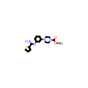 CC(C)(C)OC(=O)N1CCN(c2cccc(/N=C(\N)c3cccs3)c2)CC1